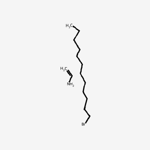 C=CN.CCCCCCCCCCCCBr